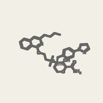 CCCCc1cc2ccccc2c(OCC[N+](C)(C)[C@@]2(Cc3ccc(-n4cccn4)cc3)CCOC(C(N)=O)[C@@H]2O)n1